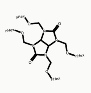 CCCCCCOCN1C(=O)N(COCCCCCC)C2C1N(COCCCCCC)C(=O)N2COCCCCCC